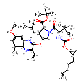 C=CCCC[C@@H]1C[C@H]1OC(=O)N[C@H](C(=O)N1C[C@H](OC2=NC3=CC(OC)=CC(C)C3N=C2C=C)[C@@H](CC(C)C)[C@H]1C(=O)OC(C)(C)C)C(C)(C)C